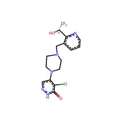 O=c1[nH]ncc(N2CCN(Cc3cccnc3[C@H](O)C(F)(F)F)CC2)c1Cl